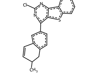 CC1C=Cc2cc(-c3nc(Cl)nc4c3sc3ccccc34)ccc2C1